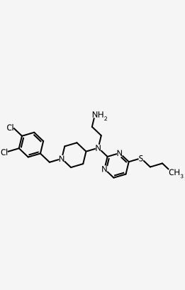 CCCSc1ccnc(N(CCN)C2CCN(Cc3ccc(Cl)c(Cl)c3)CC2)n1